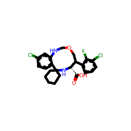 O=C(O)[C@@H]1NC2(CCCCC2)c2ccc(Cl)cc2NCOCC1c1cccc(Cl)c1F